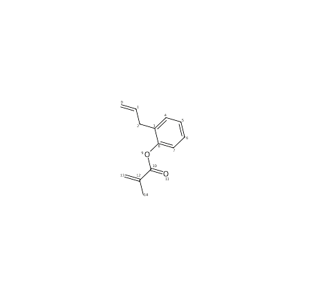 C=CCc1ccccc1OC(=O)C(=C)C